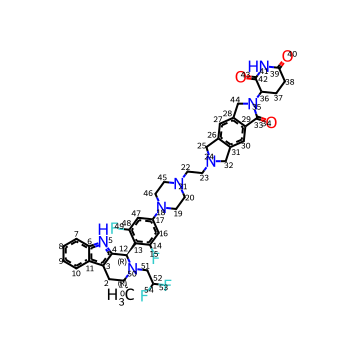 C[C@@H]1Cc2c([nH]c3ccccc23)[C@@H](c2c(F)cc(N3CCN(CCN4Cc5cc6c(cc5C4)C(=O)N(C4CCC(=O)NC4=O)C6)CC3)cc2F)N1CC(F)F